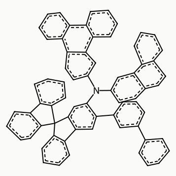 c1ccc(-c2cccc(-c3cc4c(cc3N(c3ccc5ccc6ccccc6c5c3)c3ccc5c6ccccc6c6ccccc6c5c3)C3(c5ccccc5-c5ccccc53)c3ccccc3-4)c2)cc1